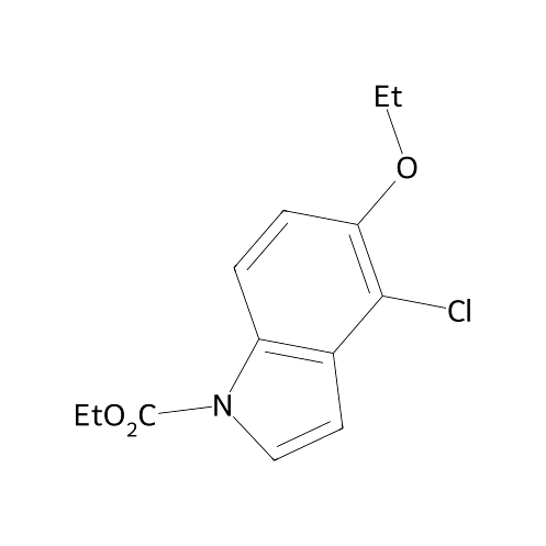 CCOC(=O)n1ccc2c(Cl)c(OCC)ccc21